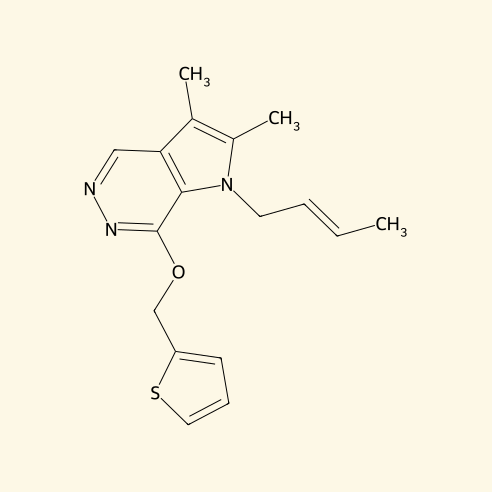 C/C=C/Cn1c(C)c(C)c2cnnc(OCc3cccs3)c21